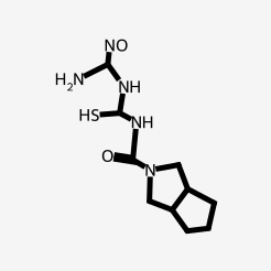 NC(N=O)NC(S)NC(=O)N1CC2CCCC2C1